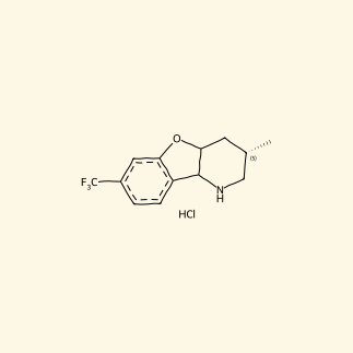 C[C@@H]1CNC2c3ccc(C(F)(F)F)cc3OC2C1.Cl